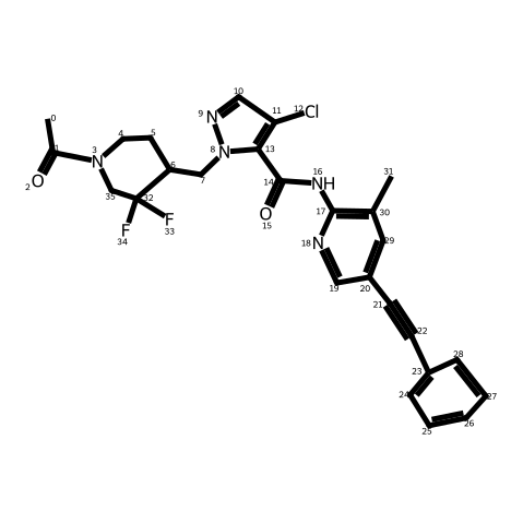 CC(=O)N1CCC(Cn2ncc(Cl)c2C(=O)Nc2ncc(C#Cc3ccccc3)cc2C)C(F)(F)C1